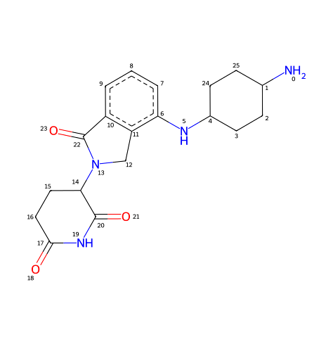 NC1CCC(Nc2cccc3c2CN(C2CCC(=O)NC2=O)C3=O)CC1